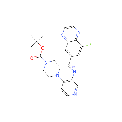 CC(C)(C)OC(=O)N1CCN(c2ccncc2/N=C/c2cc(F)c3nccnc3c2)CC1